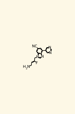 N#Cc1cc(-c2cncnc2)c2ncn(CC(F)=CCN)c2c1